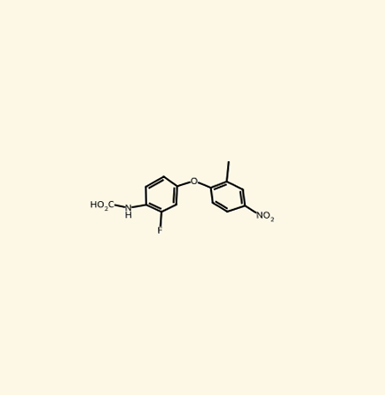 Cc1cc([N+](=O)[O-])ccc1Oc1ccc(NC(=O)O)c(F)c1